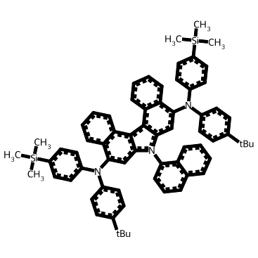 CC(C)(C)c1ccc(N(c2ccc([Si](C)(C)C)cc2)c2cc3c(c4ccccc24)c2c4ccccc4c(N(c4ccc(C(C)(C)C)cc4)c4ccc([Si](C)(C)C)cc4)cc2n3-c2cccc3ccccc23)cc1